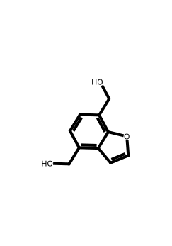 OCc1ccc(CO)c2occc12